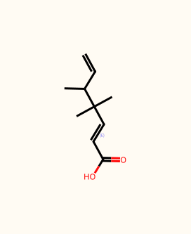 C=CC(C)C(C)(C)/C=C/C(=O)O